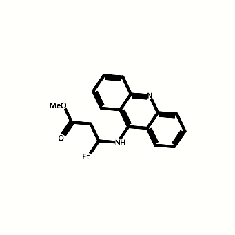 CCC(CC(=O)OC)Nc1c2ccccc2nc2ccccc12